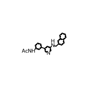 CC(=O)Nc1cccc(-c2cncc(NCc3ccc4ccccc4c3)c2)c1